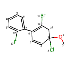 COC1(Cl)C=CC(c2ccccc2F)=C(Br)C1